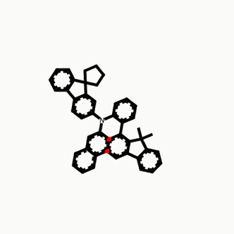 CC1(C)c2ccccc2-c2cccc(-c3ccccc3N(c3ccc4c(c3)C3(CCCC3)c3ccccc3-4)c3ccc4ccccc4c3)c21